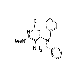 CNc1nc(Cl)cc(N(Cc2ccccc2)Cc2ccccc2)c1N